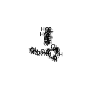 O=C(CC1CCN(c2ncccn2)CC1)Nc1ccc2cc1CCc1cncc(c1)Nc1ncc(Cl)c(n1)N2.O=C(O)C(F)(F)F.O=C(O)C(F)(F)F.O=C(O)C(F)(F)F